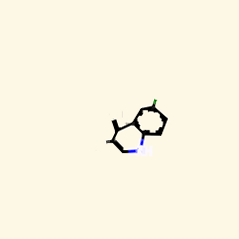 C=C1C(C(=O)O)=CNc2ccc(F)cc21